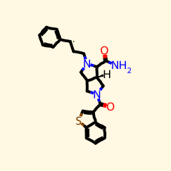 NC(=O)C1[C@@H]2CN(C(=O)c3csc4ccccc34)CC2CN1CC[CH]c1ccccc1